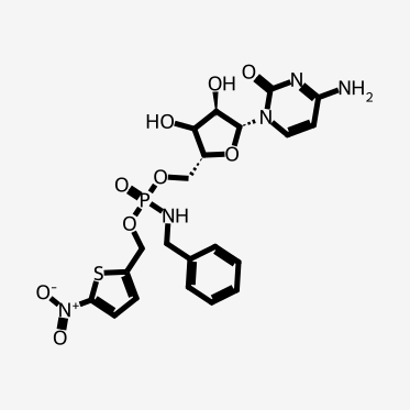 Nc1ccn([C@@H]2O[C@H](COP(=O)(NCc3ccccc3)OCc3ccc([N+](=O)[O-])s3)C(O)[C@H]2O)c(=O)n1